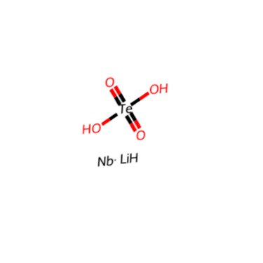 O=[Te](=O)(O)O.[LiH].[Nb]